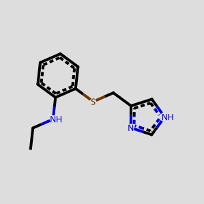 CCNc1ccccc1SCc1c[nH]cn1